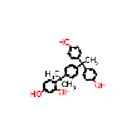 CC(C)(c1ccc(C(C)(c2ccc(O)cc2)c2ccc(O)cc2)cc1)c1ccc(O)cc1O